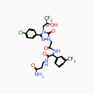 NC(=O)CCNC(=O)C(NC(=O)Cn1nc(-c2ccc(Cl)cc2)n(C[C@H](O)C(F)(F)F)c1=O)c1cccc(C(F)(F)F)c1